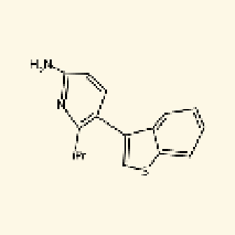 CC(C)c1nc(N)ccc1-c1csc2ccccc12